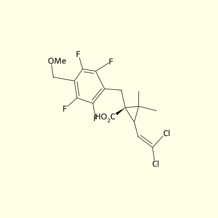 COCc1c(F)c(F)c(C[C@@]2(C(=O)O)C(C=C(Cl)Cl)C2(C)C)c(F)c1F